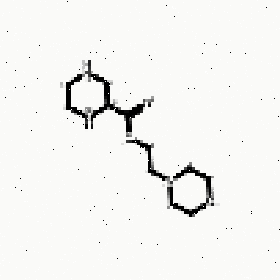 O=C(OCCN1CCOCC1)C1CNCCN1